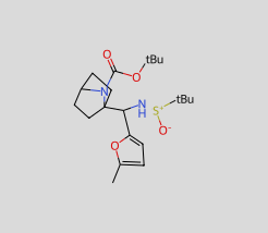 Cc1ccc(C(N[S+]([O-])C(C)(C)C)C23CCC(CC2)N3C(=O)OC(C)(C)C)o1